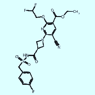 CCOC(=O)c1cc(C#N)c(N2CC(C(=O)NS(=O)(=O)Cc3ccc(F)cc3)C2)nc1OCC(F)F